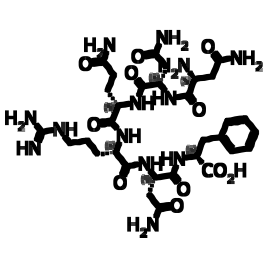 N=C(N)NCCC[C@H](NC(=O)[C@H](CCC(N)=O)NC(=O)[C@H](CC(N)=O)NC(=O)[C@@H](N)CC(N)=O)C(=O)N[C@@H](CC(N)=O)C(=O)N[C@@H](Cc1ccccc1)C(=O)O